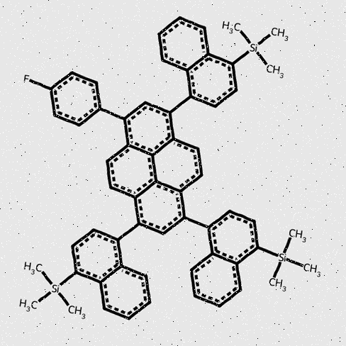 C[Si](C)(C)c1ccc(-c2cc(-c3ccc(F)cc3)c3ccc4c(-c5ccc([Si](C)(C)C)c6ccccc56)cc(-c5ccc([Si](C)(C)C)c6ccccc56)c5ccc2c3c45)c2ccccc12